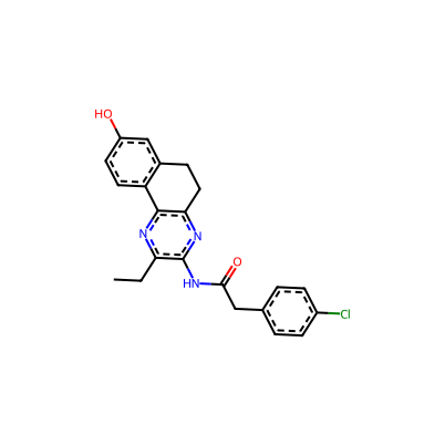 CCc1nc2c(nc1NC(=O)Cc1ccc(Cl)cc1)CCc1cc(O)ccc1-2